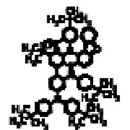 CC(C)(C)c1ccc(N2B3c4ccc5oc6ccccc6c5c4N(c4ccc(C(C)(C)C)cc4-c4ccccc4)c4cc(C(C)(C)C)cc(c43)-c3ccc(N(c4ccc(C(C)(C)C)cc4)c4ccc(C(C)(C)C)cc4)cc32)cc1